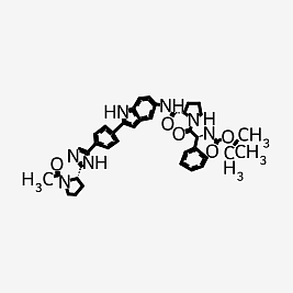 CC(=O)N1CCC[C@H]1c1ncc(-c2ccc(-c3cc4cc(NC(=O)[C@@H]5CCCN5C(=O)[C@H](NC(=O)OC(C)(C)C)c5ccccc5)ccc4[nH]3)cc2)[nH]1